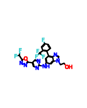 OCCn1cnc2c(-c3ccc(F)cc3C(F)(F)F)cc(Nc3ncc(-c4nnc(C(F)F)o4)cn3)cc21